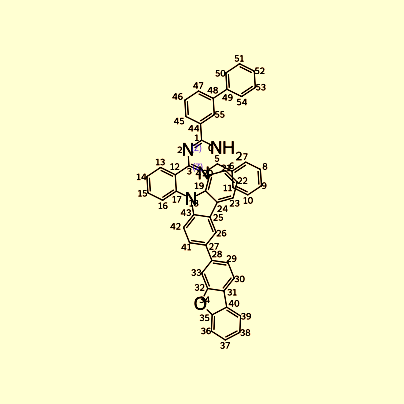 N/C(=N\C(=N/Cc1ccccc1)c1ccccc1-n1c2ccccc2c2cc(-c3ccc4c(c3)oc3ccccc34)ccc21)c1cccc(-c2ccccc2)c1